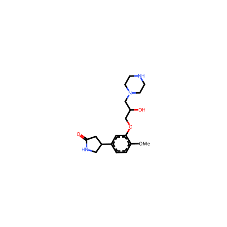 COc1ccc(C2CNC(=O)C2)cc1OCC(O)CN1CCNCC1